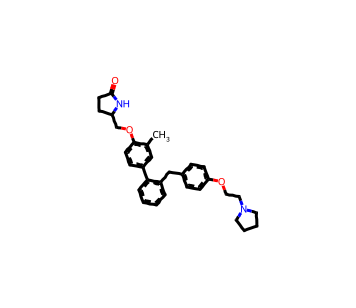 Cc1cc(-c2ccccc2Cc2ccc(OCCN3CCCC3)cc2)ccc1OCC1CCC(=O)N1